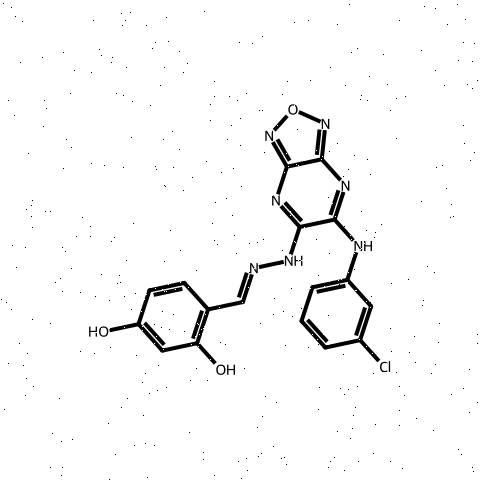 Oc1ccc(C=NNc2nc3nonc3nc2Nc2cccc(Cl)c2)c(O)c1